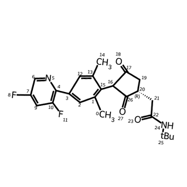 Cc1cc(-c2ncc(F)cc2F)cc(C)c1C1C(=O)C[C@H](CC(=O)NC(C)(C)C)C1=O